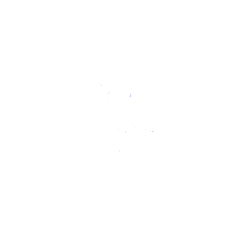 CC[C@H](NC(=O)[C@@H]1CC[C@@H]2CC[C@H](N)C(=O)N21)C(=O)N1CCC[C@H]1B(O)O